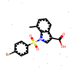 Cc1cccc2c(C(=O)O)cn(S(=O)(=O)c3ccc(Br)cc3)c12